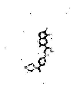 N=N/C(=C\Nc1ccc(C(=O)N2CCNCC2)cc1)c1cc2c(F)c(F)ccc2[nH]c1=O